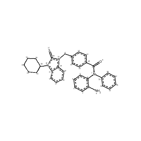 Nc1ccccc1N(C(=O)c1ccc(Cn2c(=S)n(C3CCCCC3)c3ccccc32)cc1)c1ccccc1